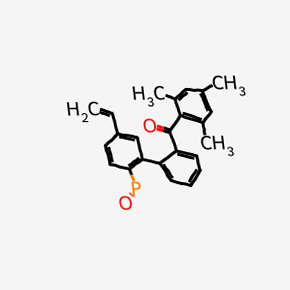 C=Cc1ccc(P=O)c(-c2ccccc2C(=O)c2c(C)cc(C)cc2C)c1